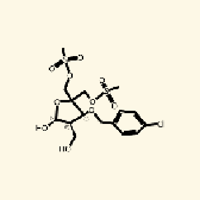 CS(=O)(=O)OCC1(COS(C)(=O)=O)O[C@H](O)[C@H](CO)[C@@H]1OCc1ccc(Cl)cc1